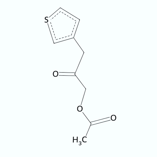 CC(=O)OCC(=O)Cc1ccsc1